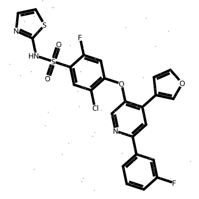 O=S(=O)(Nc1nccs1)c1cc(Cl)c(Oc2cnc(-c3cccc(F)c3)cc2-c2ccoc2)cc1F